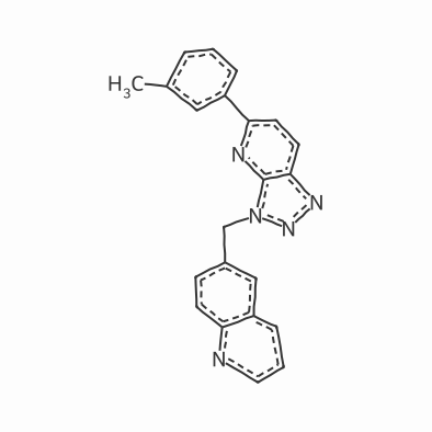 Cc1cccc(-c2ccc3nnn(Cc4ccc5ncccc5c4)c3n2)c1